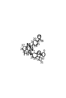 COC(=O)C1(c2ccc(Nc3nc(-c4ccc(C(C)=O)cc4)nc4c3CCC4)cc2)CCC1